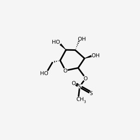 CS(=O)(=S)OC1O[C@H](CO)[C@@H](O)[C@H](O)[C@H]1O